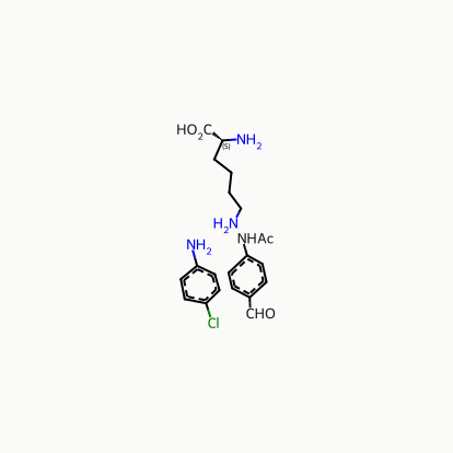 CC(=O)Nc1ccc(C=O)cc1.NCCCC[C@H](N)C(=O)O.Nc1ccc(Cl)cc1